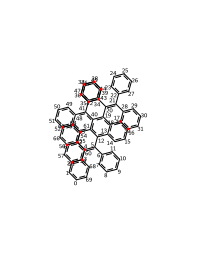 c1ccc(C(=C(c2ccccc2)c2c3ccccc3c(C(=C(c3ccccc3)c3ccccc3)c3ccccc3)c3c(-c4ccccc4)c4ccccc4c(-c4ccccc4)c23)c2ccccc2)cc1